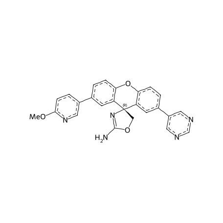 COc1ccc(-c2ccc3c(c2)[C@]2(COC(N)=N2)c2cc(-c4cncnc4)ccc2O3)cn1